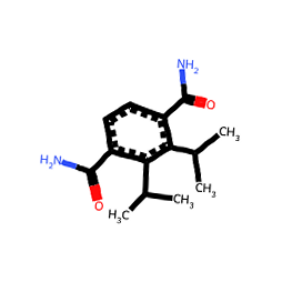 CC(C)c1c(C(N)=O)ccc(C(N)=O)c1C(C)C